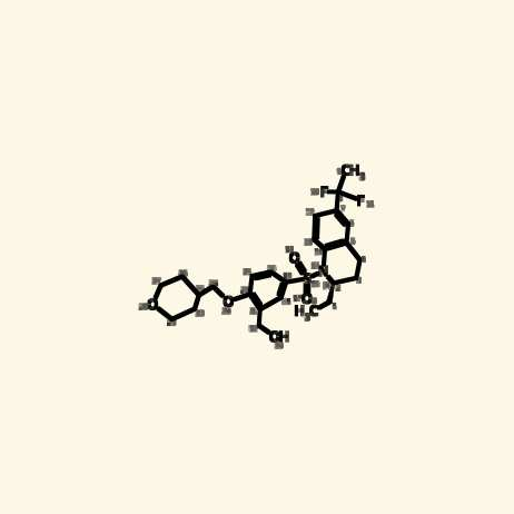 CC[C@@H]1CCc2cc(C(C)(F)F)ccc2N1S(=O)(=O)c1ccc(OCC2CCOCC2)c(CO)c1